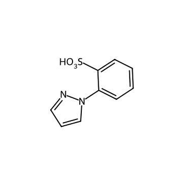 O=S(=O)(O)c1ccccc1-n1cccn1